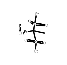 CCC(C)(S(=O)(=O)CC)S(=O)(=O)CC.CCO